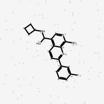 Nc1ncc(C(O)NC2CCC2)c2ccc(-c3cccc(F)c3)nc12